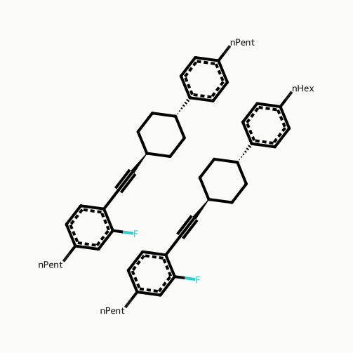 CCCCCCc1ccc([C@H]2CC[C@H](C#Cc3ccc(CCCCC)cc3F)CC2)cc1.CCCCCc1ccc([C@H]2CC[C@H](C#Cc3ccc(CCCCC)cc3F)CC2)cc1